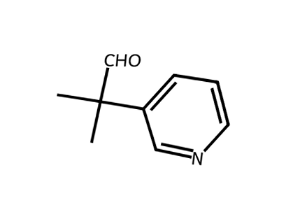 CC(C)(C=O)c1cccnc1